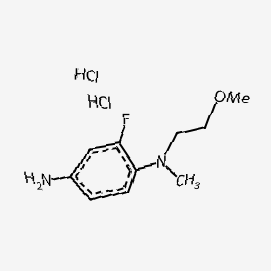 COCCN(C)c1ccc(N)cc1F.Cl.Cl